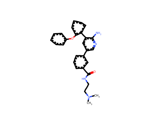 CN(C)CCNC(=O)c1cccc(-c2cnc(N)c(-c3ccccc3Oc3ccccc3)c2)c1